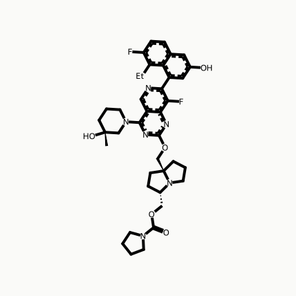 CCc1c(F)ccc2cc(O)cc(-c3ncc4c(N5CCC[C@@](C)(O)C5)nc(OC[C@@]56CCCN5[C@H](COC(=O)N5CCCC5)CC6)nc4c3F)c12